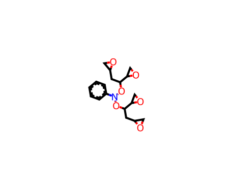 c1ccc(N(OC(CC2CO2)C2CO2)OC(CC2CO2)C2CO2)cc1